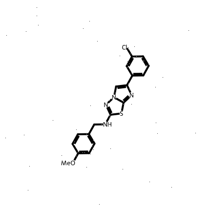 COc1ccc(CNc2nn3cc(-c4cccc(Cl)c4)nc3s2)cc1